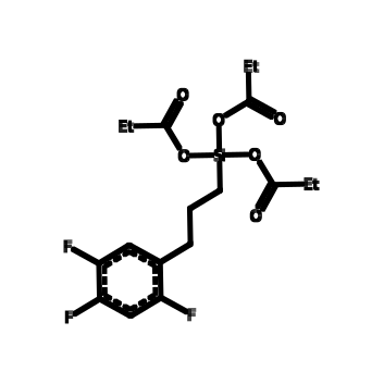 CCC(=O)O[Si](CCCc1cc(F)c(F)cc1F)(OC(=O)CC)OC(=O)CC